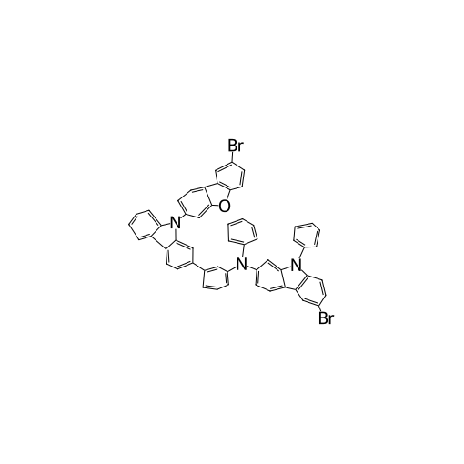 Brc1ccc2oc3cc(-n4c5ccccc5c5ccc(-c6cccc(N(c7ccccc7)c7ccc8c9cc(Br)ccc9n(-c9ccccc9)c8c7)c6)cc54)ccc3c2c1